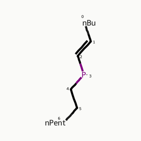 CCCCC=C[P]CCCCCCC